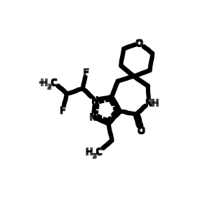 [CH2]C(F)C(F)n1nc(CC)c2c1CC1(CCOCC1)CNC2=O